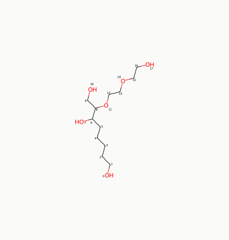 OCCCCCC(O)C(CO)OCCOCCO